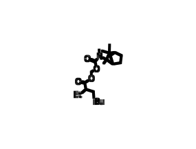 CCC(C)CC(CC)C(=O)OCOC(=O)N(C)C1(C)C2CCC(C2)C1(C)C